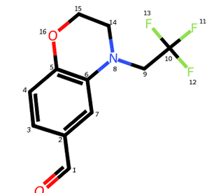 O=Cc1ccc2c(c1)N(CC(F)(F)F)CCO2